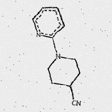 N#CC1CCN(c2ccccn2)CC1